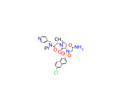 CC(C)N(Cc1ccncc1)C(=O)[C@H](C)N1CC[C@H](N(CC(N)=O)S(=O)(=O)c2ccc3cc(Cl)ccc3c2)C1=O